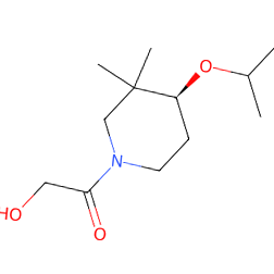 CC(C)O[C@H]1CCN(C(=O)CO)CC1(C)C